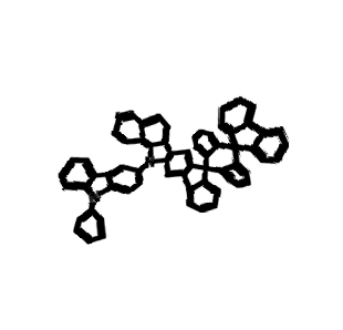 c1ccc(-n2c3ccccc3c3cc(-n4c5cc6c(cc5c5ccc7ccccc7c54)C4(c5ccccc5-6)c5ccccc5C5(c6ccccc6-c6ccccc65)c5ccccc54)ccc32)cc1